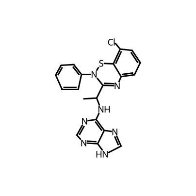 CC(Nc1ncnc2[nH]cnc12)C1=Nc2cccc(Cl)c2SN1c1ccccc1